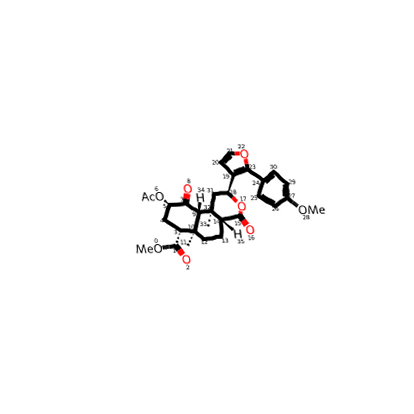 COC(=O)[C@@H]1C[C@H](OC(C)=O)C(=O)[C@H]2[C@@]1(C)CC[C@H]1C(=O)O[C@H](c3ccoc3-c3ccc(OC)cc3)C[C@]21C